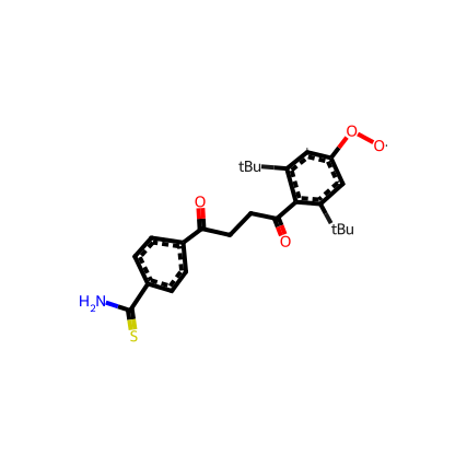 CC(C)(C)c1[c]c(O[O])cc(C(C)(C)C)c1C(=O)CCC(=O)c1ccc(C(N)=S)cc1